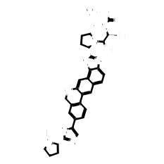 COC(=O)N[C@@H](C(C)C)C(O)N1[C@@H](C)CC[C@H]1c1nc2ccc3cc4c(cc3c2[nH]1)OCc1cc(-c2cnc([C@@H]3CC[C@H](C)N3)[nH]2)ccc1-4